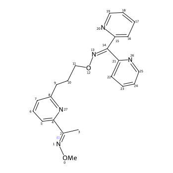 CO/N=C(\C)c1cccc(CCCON=C(c2ccccn2)c2ccccn2)n1